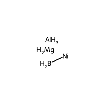 [AlH3].[BH2][Ni].[MgH2]